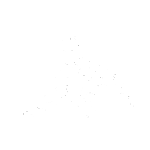 CCCCc1ccc(P(=O)(c2ccc(CCCC)cc2)c2ccc(C3(c4ccc(P(=O)(c5ccc(CCCC)cc5)c5ccc(CCCC)cc5)cc4)CCCCC3)cc2)cc1